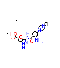 CN1CCN(c2ccc(C(=O)Nc3n[nH]c4cc(C(=O)O)oc34)c(N)c2)CC1